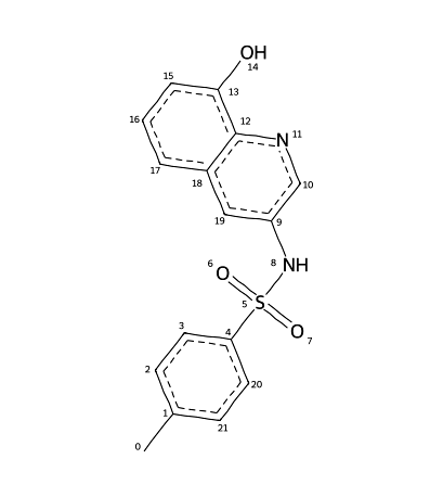 Cc1ccc(S(=O)(=O)Nc2cnc3c(O)cccc3c2)cc1